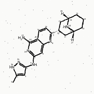 Cc1cc(Nc2cc3nc([C@H]4C[C@H]5CCC[C@@H](C4)N5)ccc3c(N)n2)n[nH]1